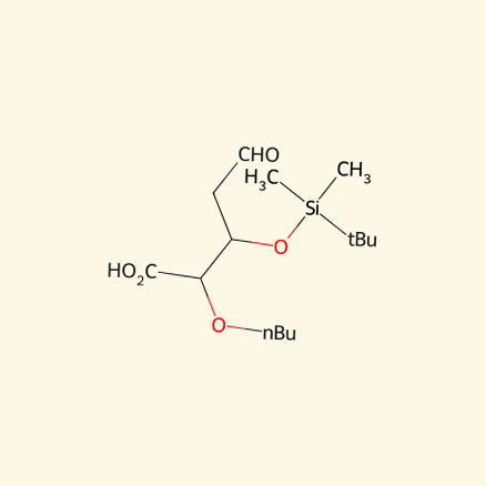 CCCCOC(C(=O)O)C(CC=O)O[Si](C)(C)C(C)(C)C